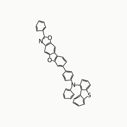 c1ccc(-c2nc3cc4oc5cc(-c6ccc(N(c7ccccc7)c7cccc8sc9ccccc9c78)cc6)ccc5c4cc3o2)cc1